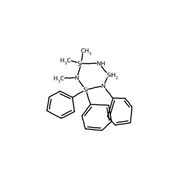 CN1[Si](C)(C)N[SiH2]N(c2ccccc2)[Si]1(c1ccccc1)c1ccccc1